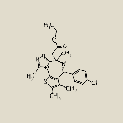 CCOC(=O)CC1(C)N=C(c2ccc(Cl)cc2)c2c(sc(C)c2C)-n2c(C)nnc21